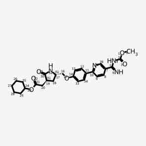 COC(=O)NC(=N)c1ccc(-c2ccc(OC[C@@H]3C[C@@H](CC(=O)OC4CCCCC4)C(=O)N3)cc2)nc1